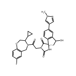 Cn1cc(-c2ccc3c(c2)C(O)C[C@@]32NC(=O)N(CC(=O)N3Cc4cc(F)ccc4OCC3C3CC3)C2=O)cn1